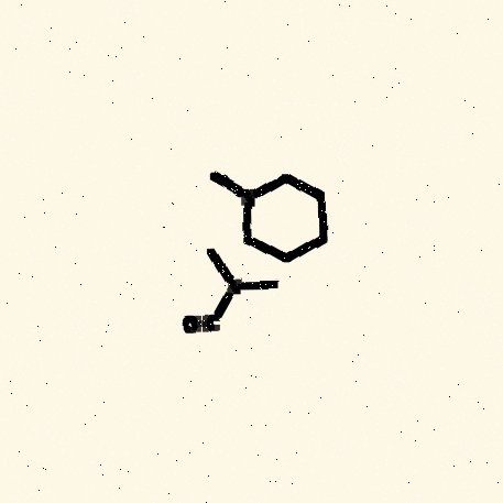 CN(C)C=O.CN1CCCCC1